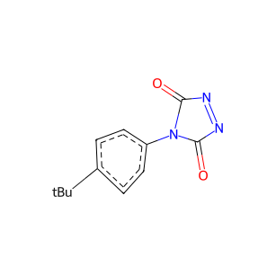 CC(C)(C)c1ccc(N2C(=O)N=NC2=O)cc1